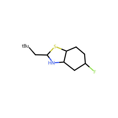 CC(C)(C)CC1NC2CC(F)CCC2S1